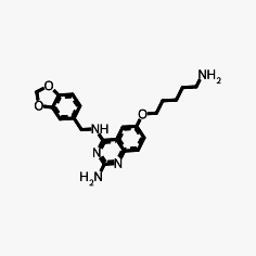 NCCCCCOc1ccc2nc(N)nc(NCc3ccc4c(c3)OCO4)c2c1